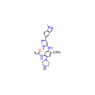 C=CC(=O)Nc1cc(N/C(=C/C(=N\C)c2ccc3c(cnn3C)c2)N=C)c(OC)cc1N1CCN(CC)CC1